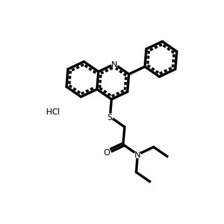 CCN(CC)C(=O)CSc1cc(-c2ccccc2)nc2ccccc12.Cl